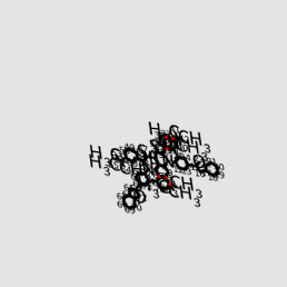 CC(C)(C)c1cc2c3c(c1)N(c1ccc(-c4cc5ccccc5o4)cc1-c1ccccc1)c1c(sc4ccc(C(C)(C)C)cc14)B3c1sc3ccc(C(C)(C)C)cc3c1N2c1ccc(-c2cc3ccccc3o2)cc1-c1ccccc1